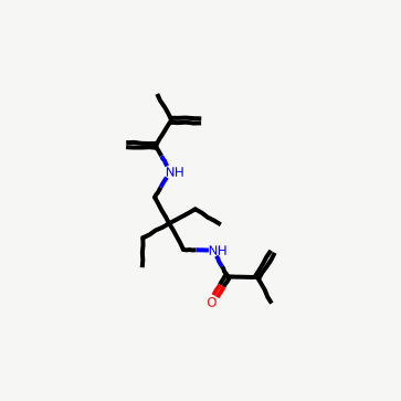 C=C(C)C(=C)NCC(CC)(CC)CNC(=O)C(=C)C